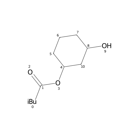 CCC(C)C(=O)OC1CCCC(O)C1